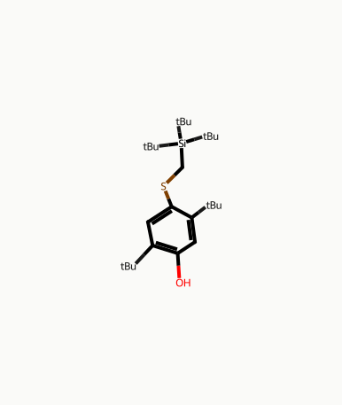 CC(C)(C)c1cc(SC[Si](C(C)(C)C)(C(C)(C)C)C(C)(C)C)c(C(C)(C)C)cc1O